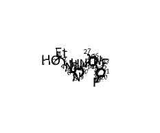 CCC(O)CCn1cc2nccc(Nc3cc(-c4cc(F)ccc4F)ncc3C)c2n1